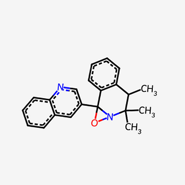 CC1c2ccccc2C2(c3cnc4ccccc4c3)ON2C1(C)C